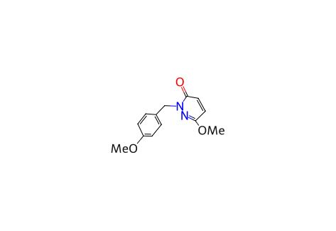 COc1ccc(Cn2nc(OC)ccc2=O)cc1